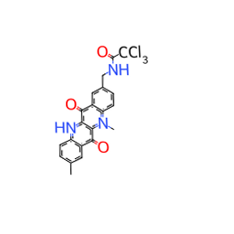 Cc1ccc2[nH]c3c(=O)c4cc(CNC(=O)C(Cl)(Cl)Cl)ccc4n(C)c3c(=O)c2c1